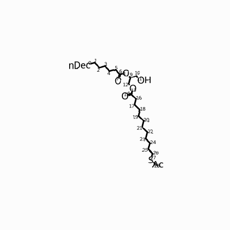 CCCCCCCCCCCCCCCC(=O)O[C@@H](CO)COC(=O)CCCCCCCCCCCSC(C)=O